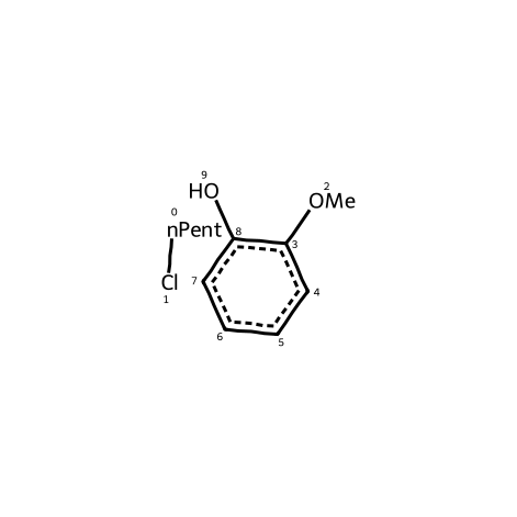 CCCCCCl.COc1ccccc1O